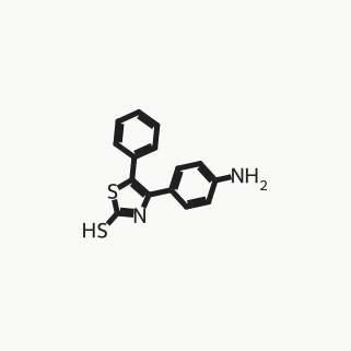 Nc1ccc(-c2nc(S)sc2-c2ccccc2)cc1